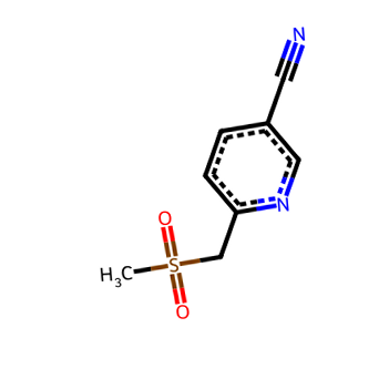 CS(=O)(=O)Cc1ccc(C#N)cn1